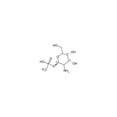 CP(=O)(O)O[C@H]1OC(CO)[C@H](O)[C@H](O)C1N